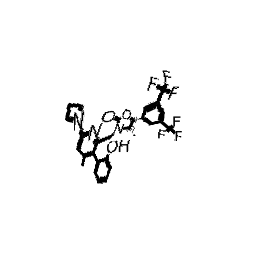 Cc1cc(N2CCC2)nc(CN2C(=O)O[C@H](c3cc(C(F)(F)F)cc(C(F)(F)F)c3)[C@@H]2C)c1-c1ccccc1O